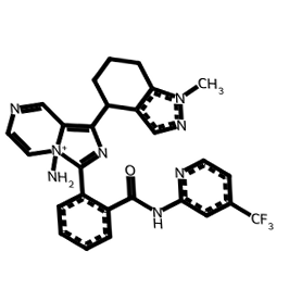 Cn1ncc2c1CCCC2C1=C2C=NC=C[N+]2(N)C(c2ccccc2C(=O)Nc2cc(C(F)(F)F)ccn2)=N1